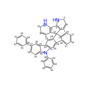 C1=CC2=C(NC1)C1=C(C=CCN1)C21c2ccccc2-c2cc3c(cc21)c1cc(-c2ccccc2)ccc1n3-c1ccccc1